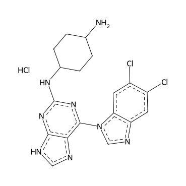 Cl.NC1CCC(Nc2nc(-n3cnc4cc(Cl)c(Cl)cc43)c3nc[nH]c3n2)CC1